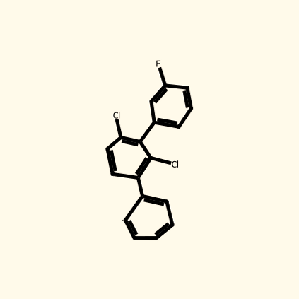 Fc1cccc(-c2c(Cl)ccc(-c3[c]cccc3)c2Cl)c1